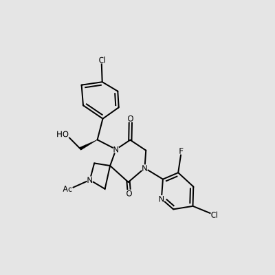 CC(=O)N1CC2(C1)C(=O)N(c1ncc(Cl)cc1F)CC(=O)N2[C@@H](CO)c1ccc(Cl)cc1